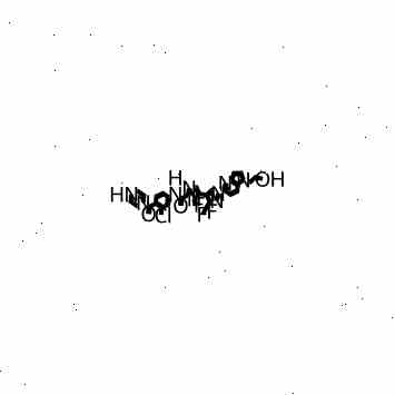 Cn1c(-c2cn(-c3ccc4c(ccn4CCO)n3)nc2C(F)(F)F)cnc1C(=O)Nc1ccc(C(=O)N2CCNCC2)c(Cl)c1